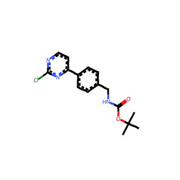 CC(C)(C)OC(=O)NCc1ccc(-c2ccnc(Cl)n2)cc1